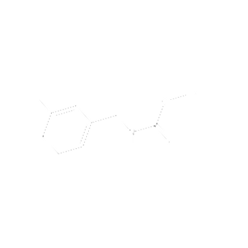 CC(C)(C)OC(=O)NCC1=CC[CH]C(C(F)(F)F)=C1